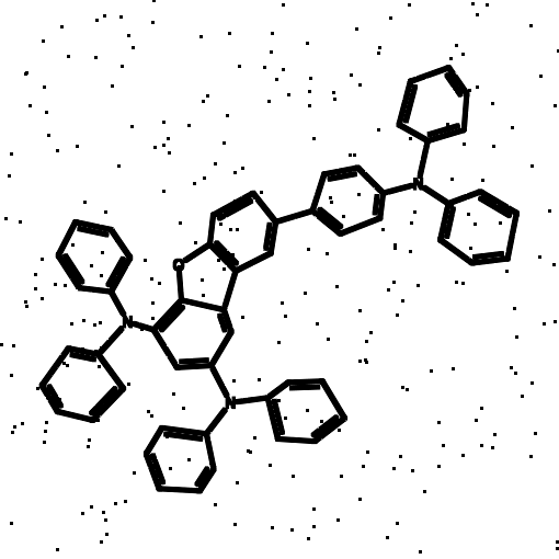 c1ccc(N(c2ccccc2)c2ccc(-c3ccc4oc5c(N(c6ccccc6)c6ccccc6)cc(N(c6ccccc6)c6ccccc6)cc5c4c3)cc2)cc1